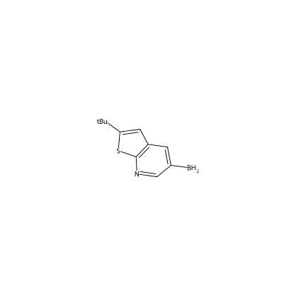 Bc1cnc2sc(C(C)(C)C)cc2c1